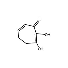 O=C1C=CCCC(O)=C1O